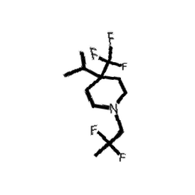 CC(C)C1(C(F)(F)F)CCN(CC(C)(F)F)CC1